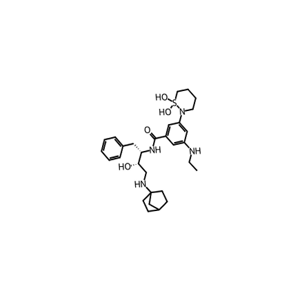 CCNc1cc(C(=O)N[C@@H](Cc2ccccc2)[C@@H](O)CNC23CCC(CC2)C3)cc(N2CCCCS2(O)O)c1